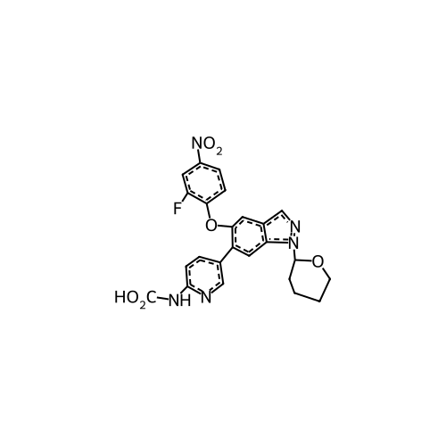 O=C(O)Nc1ccc(-c2cc3c(cnn3C3CCCCO3)cc2Oc2ccc([N+](=O)[O-])cc2F)cn1